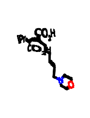 CC(C)C(C(=O)O)=C(CCCCCCN1CCOCC1)C(=O)O